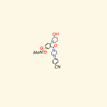 CNS(=O)(=O)c1ccc(N2CCCC(O)C2)c(C(=O)N2CCN(c3ccc(C#N)cc3)CC2)c1